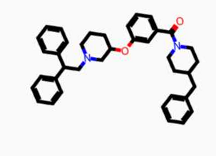 O=C(c1cccc(OC2CCCN(CC(c3ccccc3)c3ccccc3)C2)c1)N1CCC(Cc2ccccc2)CC1